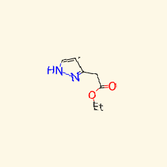 CCOC(=O)Cc1[c]c[nH]n1